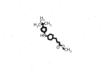 CCOC(=O)/C=C/CC1CCC(Nc2ccc(C(C)(C)C)cc2)CC1